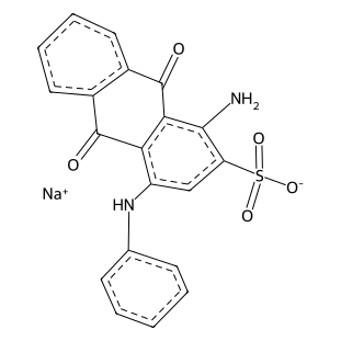 Nc1c(S(=O)(=O)[O-])cc(Nc2ccccc2)c2c1C(=O)c1ccccc1C2=O.[Na+]